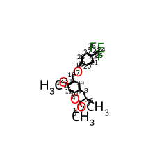 CCOC(=O)C(CC)Cc1ccc(OC)c(COCc2ccc(C(F)(F)F)cc2)c1